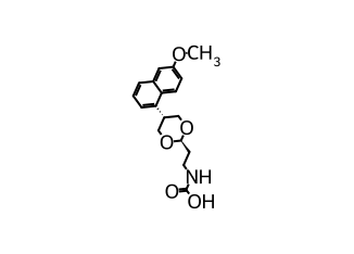 COc1ccc2c(cccc2[C@H]2CO[C@H](CCNC(=O)O)OC2)c1